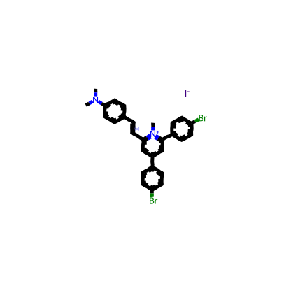 CN(C)c1ccc(/C=C/c2cc(-c3ccc(Br)cc3)cc(-c3ccc(Br)cc3)[n+]2C)cc1.[I-]